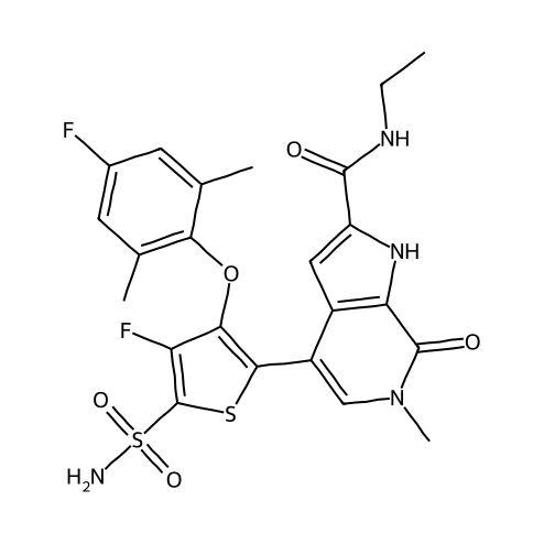 CCNC(=O)c1cc2c(-c3sc(S(N)(=O)=O)c(F)c3Oc3c(C)cc(F)cc3C)cn(C)c(=O)c2[nH]1